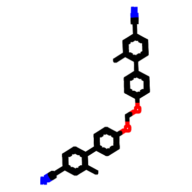 Cc1cc(C#N)ccc1-c1ccc(OCOc2ccc(-c3ccc(C#N)cc3C)cc2)cc1